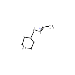 C/C=N/OC1CCOCC1